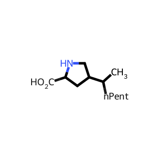 CCCCCC(C)C1CNC(C(=O)O)C1